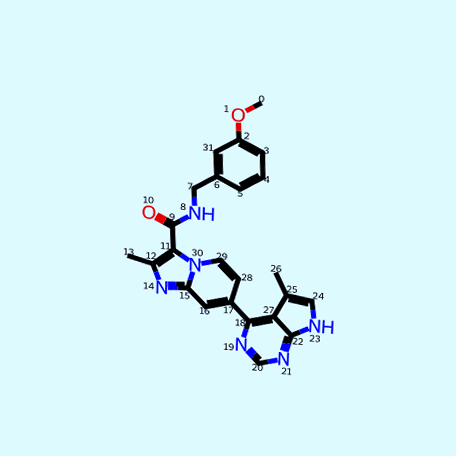 COc1cccc(CNC(=O)c2c(C)nc3cc(-c4ncnc5[nH]cc(C)c45)ccn23)c1